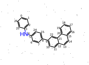 c1ccc(Nc2ccc(-c3ccc4ccc5ccccc5c4c3)cc2)cc1